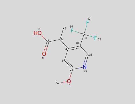 COc1cc(C(C)C(=O)O)c(C(F)(F)F)cn1